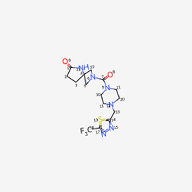 O=C1CCC2(CN(C(=O)N3CCN(Cc4nnc(C(F)(F)F)s4)CC3)C2)N1